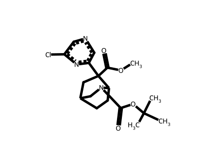 COC(=O)C1(c2cncc(Cl)n2)CC2CCC1N(C(=O)OC(C)(C)C)C2